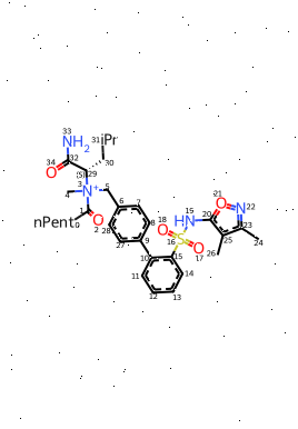 CCCCCC(=O)[N+](C)(Cc1ccc(-c2ccccc2S(=O)(=O)Nc2onc(C)c2C)cc1)[C@@H](CC(C)C)C(N)=O